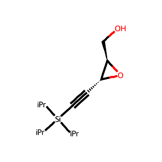 CC(C)[Si](C#C[C@H]1O[C@@H]1CO)(C(C)C)C(C)C